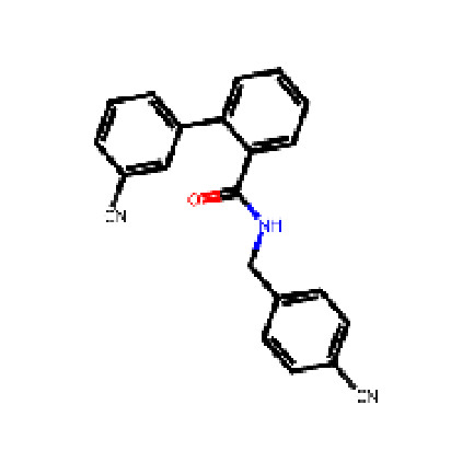 N#Cc1ccc(CNC(=O)c2ccccc2-c2cccc(C#N)c2)cc1